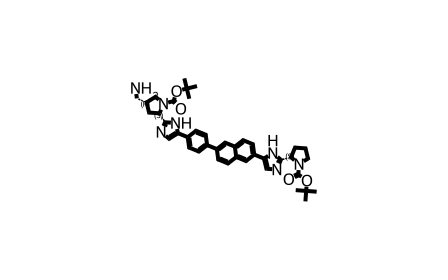 CC(C)(C)OC(=O)N1CCC[C@H]1c1ncc(-c2ccc3cc(-c4ccc(-c5cnc([C@@H]6C[C@H](CN)CN6C(=O)OC(C)(C)C)[nH]5)cc4)ccc3c2)[nH]1